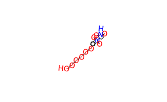 O=C1CCC(N2C(=O)c3ccc(OCCOCCOCCOCCOCCO)cc3C2=O)C(=O)N1